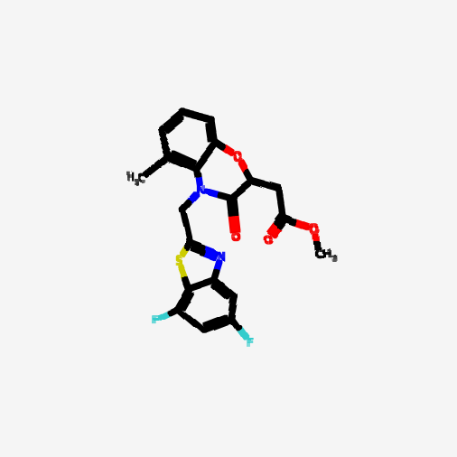 COC(=O)CC1Oc2cccc(C)c2N(Cc2nc3cc(F)cc(F)c3s2)C1=O